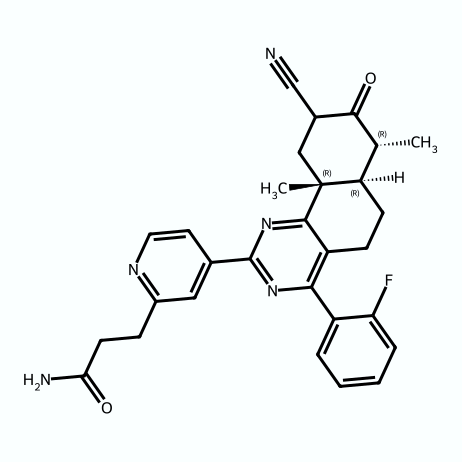 C[C@H]1C(=O)C(C#N)C[C@@]2(C)c3nc(-c4ccnc(CCC(N)=O)c4)nc(-c4ccccc4F)c3CC[C@H]12